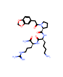 N=C(N)NCCC[C@H](NC(=O)[C@H](CCCCN)NC(=O)[C@@H]1CCCN1C(=O)Cc1ccc2c(c1)OCO2)C(N)=O